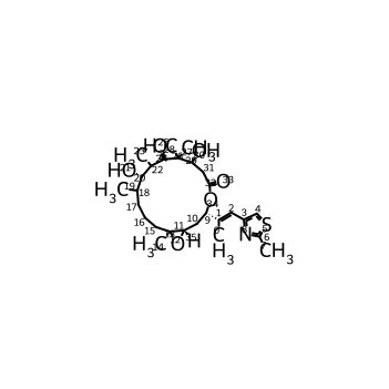 C/C(=C\c1csc(C)n1)[C@@H]1C[C@@H]2O[C@]2(C)CCCC(C)[C@H](O)C(C)C(=O)C(C)(C)C(O)CC(=O)O1